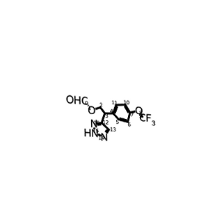 O=COCC(c1ccc(OC(F)(F)F)cc1)c1cn[nH]n1